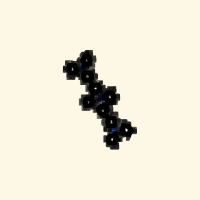 c1ccc(N(c2ccccc2)c2ccc(-c3ccc4c(c3)-c3ccccc3N3B4c4ccccc4-c4cc(-c5ccc(N(c6ccccc6)c6ccccc6)cc5)ccc43)cc2)cc1